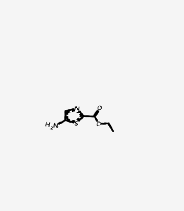 CCOC(=O)c1ncc(N)s1